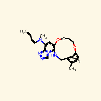 C=C/C=C\N(C)c1cc2c(n3cnnc13)NCc1c(C)ccc(c1C)OCCCO2